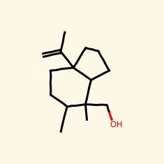 C=C(C)C12CCCC1C(C)(CO)C(C)CC2